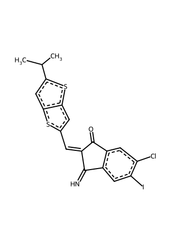 CC(C)c1cc2sc(/C=C3/C(=N)c4cc(I)c(Cl)cc4C3=O)cc2s1